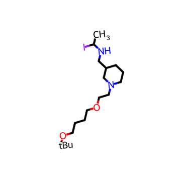 CC(I)NCC1CCCN(CCOCCCCOC(C)(C)C)C1